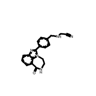 N#CCNCc1ccc(-c2nc3cccc4c3n2CCNC4=O)cc1